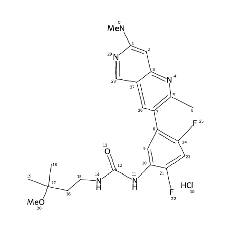 CNc1cc2nc(C)c(-c3cc(NC(=O)NCCC(C)(C)OC)c(F)cc3F)cc2cn1.Cl